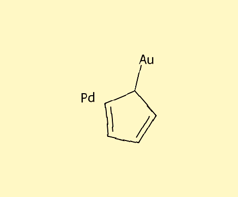 [Au][CH]1C=CC=C1.[Pd]